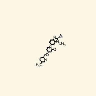 Cn1c(C2CC2)nc2ccc(-n3ccc(OCc4cnc(C(F)(F)F)cn4)cc3=O)cc21